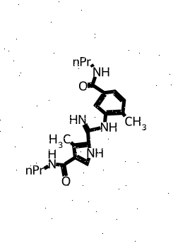 CCCNC(=O)c1ccc(C)c(NC(=N)c2[nH]cc(C(=O)NCCC)c2C)c1